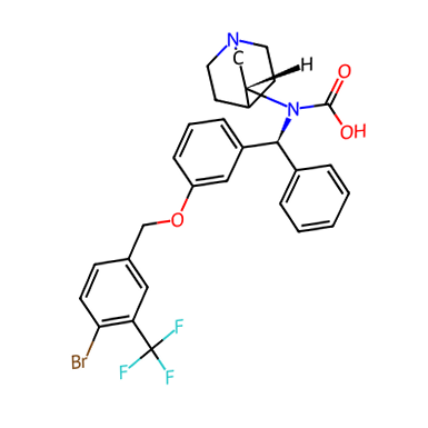 O=C(O)N([C@@H](c1ccccc1)c1cccc(OCc2ccc(Br)c(C(F)(F)F)c2)c1)[C@H]1CN2CCC1CC2